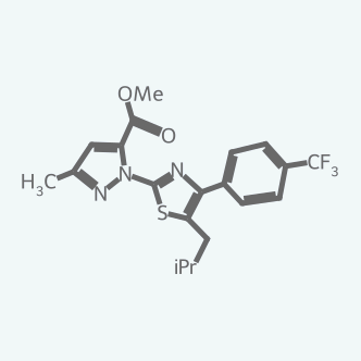 COC(=O)c1cc(C)nn1-c1nc(-c2ccc(C(F)(F)F)cc2)c(CC(C)C)s1